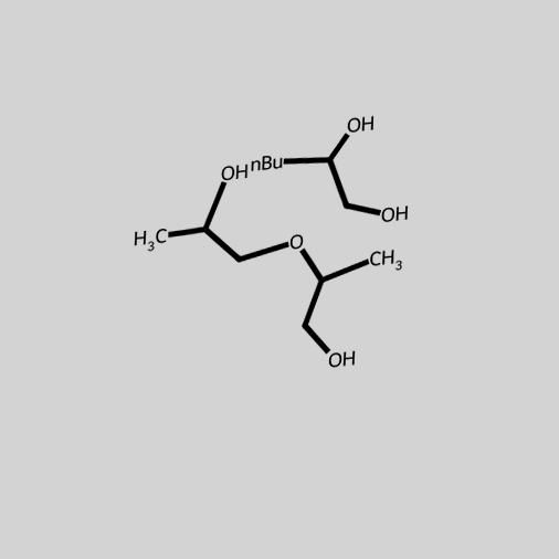 CC(O)COC(C)CO.CCCCC(O)CO